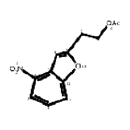 CC(=O)OCCc1cc2c([N+](=O)[O-])cccc2o1